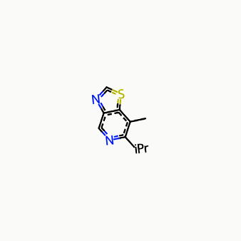 Cc1c(C(C)C)ncc2ncsc12